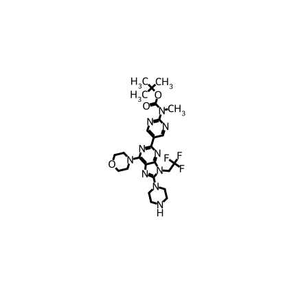 CN(C(=O)OC(C)(C)C)c1ncc(-c2nc(N3CCOCC3)c3nc(N4CCNCC4)n(CC(F)(F)F)c3n2)cn1